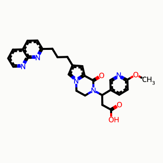 COc1ccc(C(CC(=O)O)N2CCn3cc(CCCc4ccc5cccnc5n4)cc3C2=O)cn1